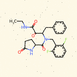 CCNC(=O)C(=O)C(Cc1ccccc1)N(Cc1c(F)cccc1F)C(=O)C1CCC(=O)N1